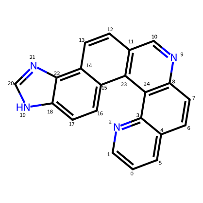 c1cnc2c(c1)ccc1ncc3ccc4c(ccc5[nH]cnc54)c3c12